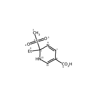 CCC1(S(C)(=O)=O)N=CC(C(=O)O)=CN1